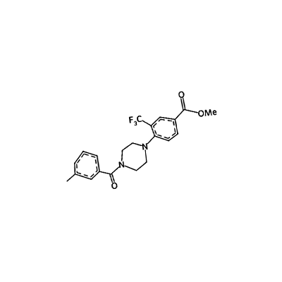 COC(=O)c1ccc(N2CCN(C(=O)c3cccc(C)c3)CC2)c(C(F)(F)F)c1